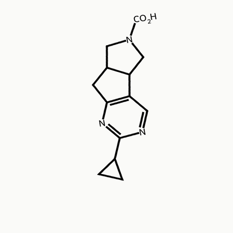 O=C(O)N1CC2Cc3nc(C4CC4)ncc3C2C1